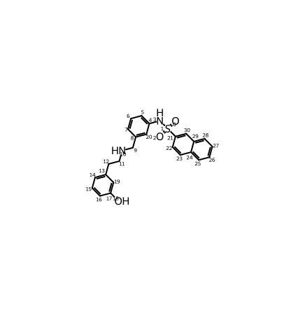 O=S(=O)(Nc1cccc(CNCCc2cccc(O)c2)c1)c1ccc2ccccc2c1